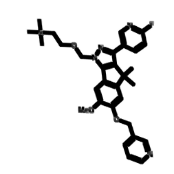 COc1cc2c(cc1OCc1cccnc1)C(C)(C)c1c(-c3ccc(F)nc3)nn(COCC[Si](C)(C)C)c1-2